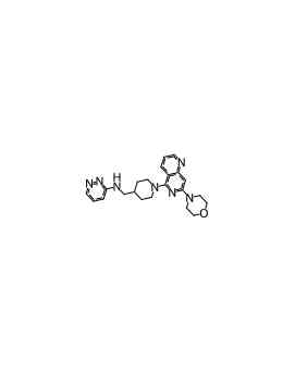 c1cnnc(NCC2CCN(c3nc(N4CCOCC4)cc4ncccc34)CC2)c1